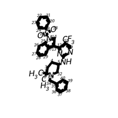 CC1(C)CCC(Nc2ncc(C(F)(F)F)c(-c3cn(S(=O)(=O)c4ccccc4)c4ccccc34)n2)CN1Cc1ccccc1